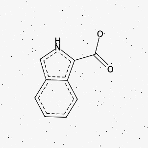 [O]C(=O)c1[nH]cc2ccccc12